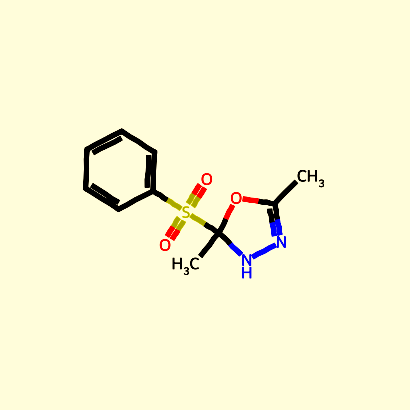 CC1=NNC(C)(S(=O)(=O)c2ccccc2)O1